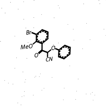 COc1c(Br)cccc1C(=O)C(C#N)Oc1ccccc1